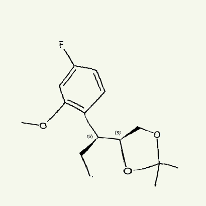 [CH2]C[C@@H](c1ccc(F)cc1OC)[C@H]1COC(C)(C)O1